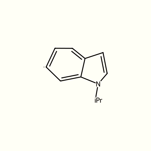 CC(C)n1ccc2cc[c]cc21